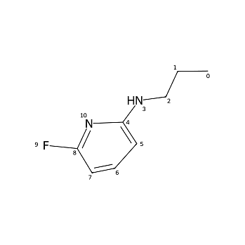 CCCNc1cccc(F)n1